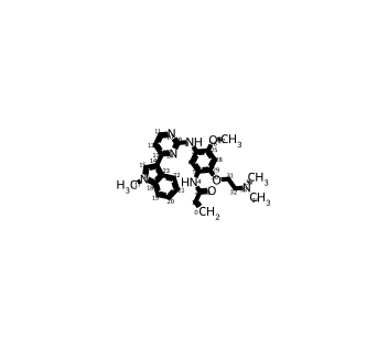 C=CC(=O)Nc1cc(Nc2nccc(-c3cn(C)c4ccccc34)n2)c(OC)cc1OCCN(C)C